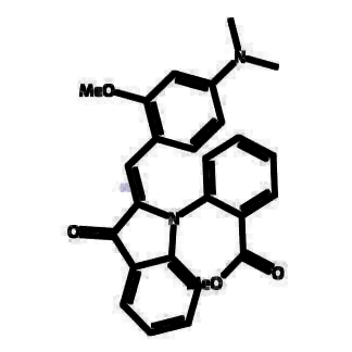 COC(=O)c1ccccc1N1/C(=C\c2ccc(N(C)C)cc2OC)C(=O)c2ccccc21